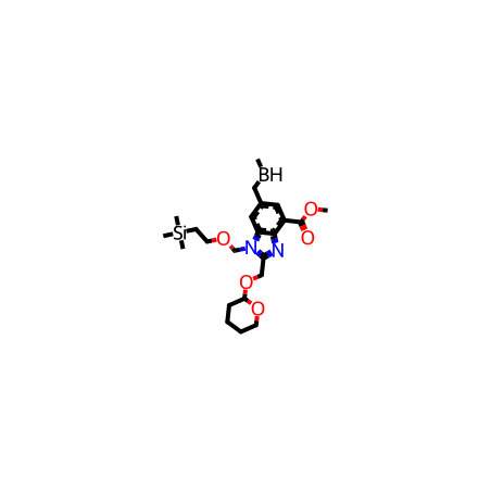 CBCc1cc(C(=O)OC)c2nc(COC3CCCCO3)n(COCC[Si](C)(C)C)c2c1